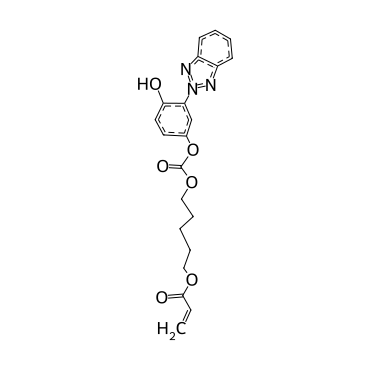 C=CC(=O)OCCCCCOC(=O)Oc1ccc(O)c(-n2nc3ccccc3n2)c1